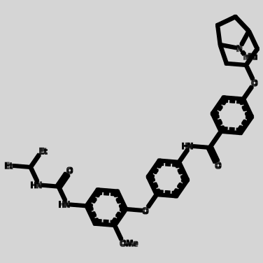 CCCCN1C2CCC1CC(Oc1ccc(C(=O)Nc3ccc(Oc4ccc(NC(=O)NC(CC)CC)cc4OC)cc3)cc1)C2